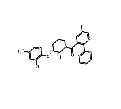 Cc1cnc(-c2ncccn2)c(C(=O)N2CCC[C@@H](Oc3ncc(C(F)(F)F)cc3Cl)[C@@H]2C)c1